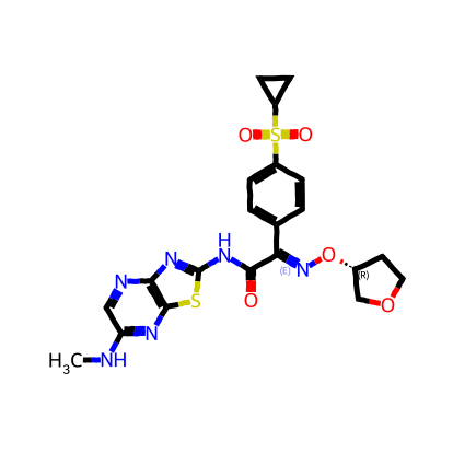 CNc1cnc2nc(NC(=O)/C(=N/O[C@@H]3CCOC3)c3ccc(S(=O)(=O)C4CC4)cc3)sc2n1